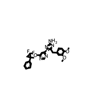 COc1ccc(Cc2nc(N)nn2-c2cc(OCC3(c4ccccc4)CC3(F)F)ncn2)cc1OC